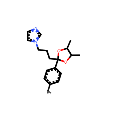 CC(C)c1ccc(C2(CCCn3ccnc3)OC(C)C(C)O2)cc1